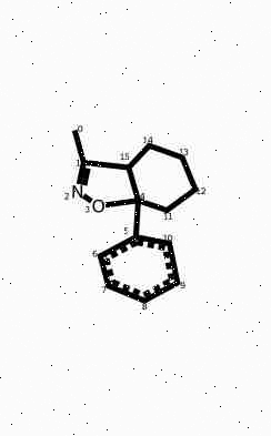 CC1=NOC2(c3ccccc3)CCCCC12